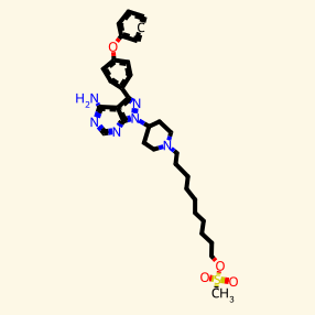 CS(=O)(=O)OCCCCCCCCCCN1CCC(n2nc(-c3ccc(Oc4ccccc4)cc3)c3c(N)ncnc32)CC1